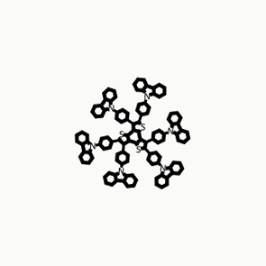 c1ccc2c(c1)c1ccccc1n2-c1ccc(-c2sc3c(c2-c2ccc(-n4c5ccccc5c5ccccc54)cc2)c2sc(-c4ccc(-n5c6ccccc6c6ccccc65)cc4)c(-c4ccc(-n5c6ccccc6c6ccccc65)cc4)c2c2sc(-c4ccc(-n5c6ccccc6c6ccccc65)cc4)c(-c4ccc(-n5c6ccccc6c6ccccc65)cc4)c32)cc1